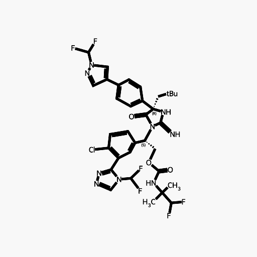 CC(C)(C)C[C@]1(c2ccc(-c3cnn(C(F)F)c3)cc2)NC(=N)N([C@H](COC(=O)NC(C)(C)C(F)F)c2ccc(Cl)c(-c3nncn3C(F)F)c2)C1=O